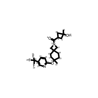 CC1(O)CC(C(=O)N2CC3(CCC(C)(Oc4ccc(C(F)(F)F)cn4)CC3)C2)C1